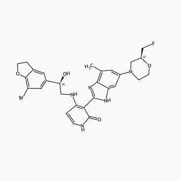 Cc1cc(N2CCO[C@H](CF)C2)cc2[nH]c(-c3c(NC[C@H](O)c4cc(Br)c5c(c4)CCO5)cc[nH]c3=O)nc12